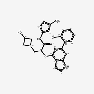 Cc1cnc(NC(=O)[C@H](CN2CC(O)C2)Oc2nc(-c3ncccc3Cl)nc3[nH]ncc23)s1